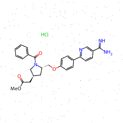 COC(=O)C[C@@H]1C[C@@H](COc2ccc(-c3ccc(C(=N)N)cn3)cc2)N(C(=O)c2ccccc2)C1.Cl